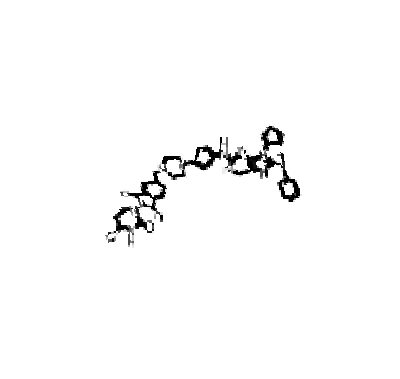 O=C1CCN(N2C(=O)c3ccc(CN4CCN(c5ccc(Nc6ncc7nc(Nc8ccccc8)n(C8CCCC8)c7n6)cc5)CC4)cc3C2=O)C(=O)N1